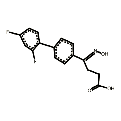 O=C(O)CCC(=NO)c1ccc(-c2ccc(F)cc2F)cc1